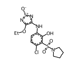 CCOc1n[s+]([O-])nc1Nc1ccc(Cl)c(S(=O)(=O)N2CCCC2)c1O